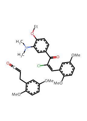 CCOc1ccc(C(=O)/C(Cl)=C\c2cc(OC)ccc2OC)cc1N(C)C.COc1ccc(OC)c(CC=C=O)c1